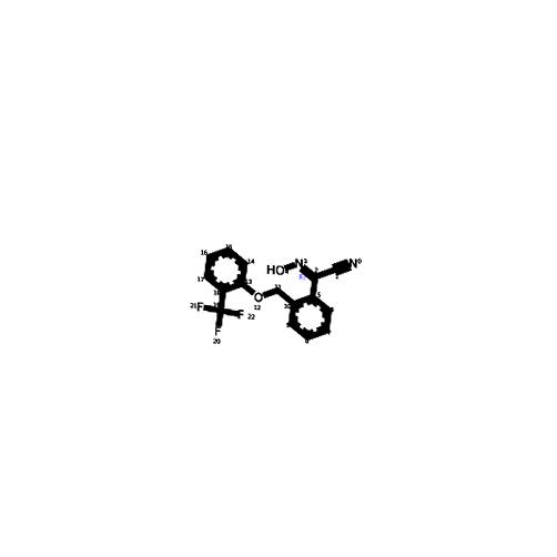 N#C/C(=N/O)c1ccccc1COc1ccccc1C(F)(F)F